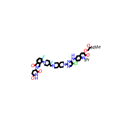 CNC(=O)COc1cc2cc(Nc3nc(N4CCC5(CCN(CC6(F)CCN(c7c(F)ccc8c7CN(C7CCC(=O)NC7=O)C8=O)CC6)CC5)CC4)ncc3Cl)ccc2n(C(C)C)c1=O